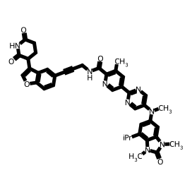 Cc1cc(-c2ncc(N(C)c3cc(C(C)C)c4c(c3)n(C)c(=O)n4C)cn2)cnc1C(=O)NCC#Cc1ccc2occ(C3CCC(=O)NC3=O)c2c1